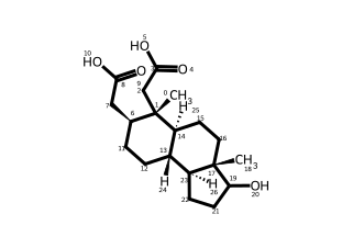 C[C@]1(CC(=O)O)[C@H](CC(=O)O)CC[C@@H]2[C@@H]1CC[C@]1(C)C(O)CC[C@@H]21